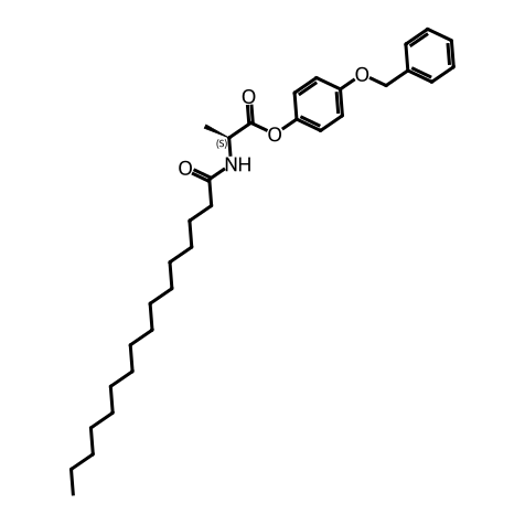 CCCCCCCCCCCCCCCC(=O)N[C@@H](C)C(=O)Oc1ccc(OCc2ccccc2)cc1